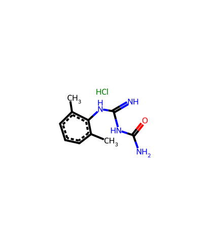 Cc1cccc(C)c1NC(=N)NC(N)=O.Cl